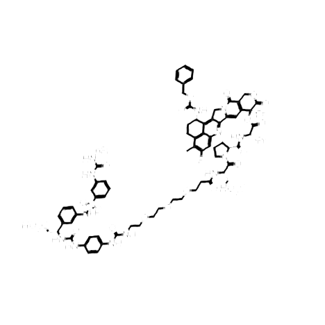 CCCNC(=O)Nc1cccc(S(=O)(=O)Nc2cccc([C@@H](CC(=O)O)NC(=O)Nc3ccc(NC(=O)NCCOCCOCCOCCC(=O)N[C@@H](CC(=O)O)C(=O)N4CCC[C@H]4C(=O)N[C@H](C(=O)O[C@]4(CC)C(=O)OCc5c4cc4n(c5=O)Cc5c-4nc4cc(F)c(C)c6c4c5[C@@H](NC(=O)OCc4ccccc4)CC6)C(C)C)cc3)c2)c1